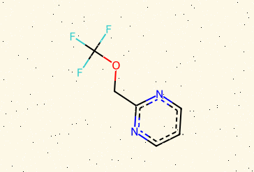 FC(F)(F)OCc1nc[c]cn1